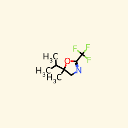 CC(C)C1(C)CN=C(C(F)(F)F)O1